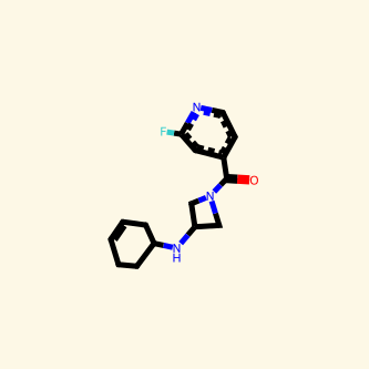 O=C(c1ccnc(F)c1)N1CC(NC2CC=CCC2)C1